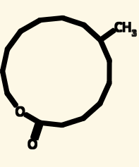 CC1CCCCCCCOC(=O)CCCCC1